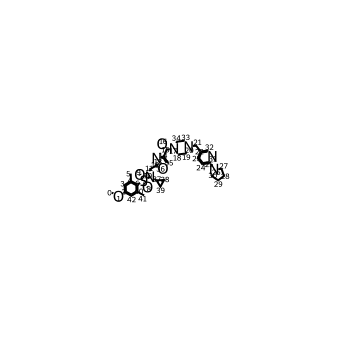 COc1cc(C)c(S(=O)(=O)N(Cc2nc(C(=O)N3CCN(Cc4ccc(N5CCCC5)nc4)CC3)co2)C2CC2)c(C)c1